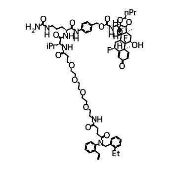 C=Cc1ccccc1N(Cc1ccccc1CC)C(=O)CCC(=O)NCCOCCOCCOCCOCCC(=O)N[C@H](C(=O)N[C@@H](CCCNC(N)=O)C(=O)Nc1ccc(COC(=O)NCC(=O)[C@@]23OC(CCC)O[C@@H]2C[C@H]2[C@@H]4C[C@H](F)C5=CC(=O)C=C[C@]5(C)[C@@]4(F)[C@@H](O)C[C@@]23C)cc1)C(C)C